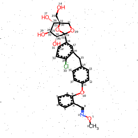 CON=Cc1ccccc1Oc1ccc(Cc2cc([C@]34OC[C@](CO)(O3)[C@@H](O)[C@H](O)[C@H]4O)ccc2Cl)cc1